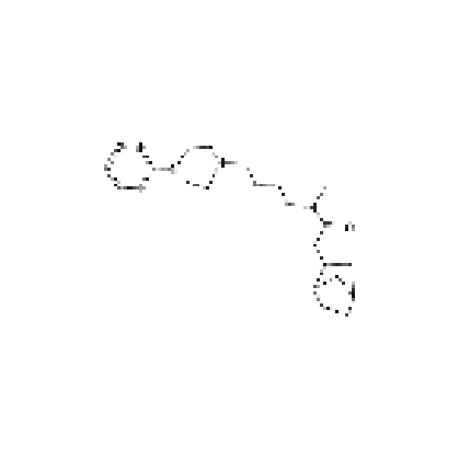 CN(CCCCN1CCN(c2ncccn2)CC1)C(=O)CC1CC2CCC1C2